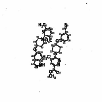 COC(=O)c1cc(C)c(N2CCC(Oc3cccc(C#N)c3)CC2)nn1.Cc1ncc(C)c(N2CCC(Oc3ccc4[nH]ncc4c3)CC2)n1